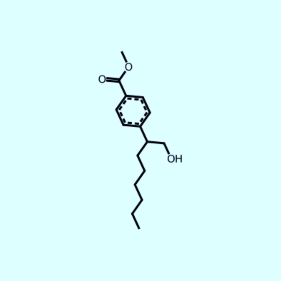 CCCCCCC(CO)c1ccc(C(=O)OC)cc1